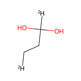 [2H]CCC([2H])(O)O